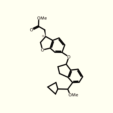 COC(=O)C[C@@H]1COc2cc(OC3CCc4c3cccc4C(OC)C3CCC3)ccc21